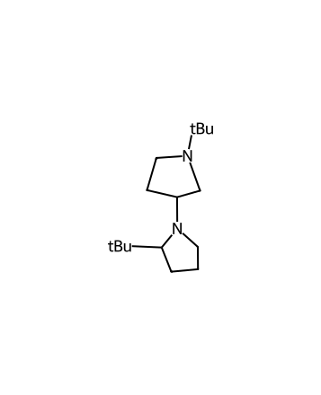 CC(C)(C)C1CCCN1C1CCN(C(C)(C)C)C1